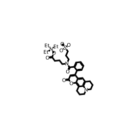 CC[N+](CC)(CC)OC(=O)CCCN(CCCS(=O)(=O)[O-])C(=O)c1ccccc1-c1cc(=O)oc2c3c4c(cc12)CCCN4CCC3